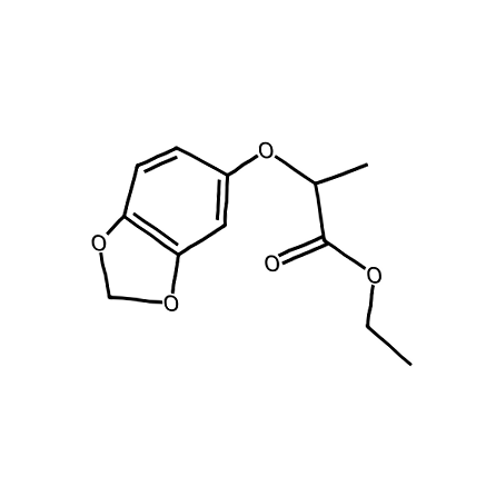 CCOC(=O)C(C)Oc1ccc2c(c1)OCO2